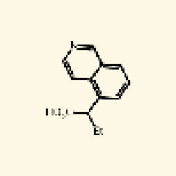 CCC(C(=O)O)c1cccc2cnccc12